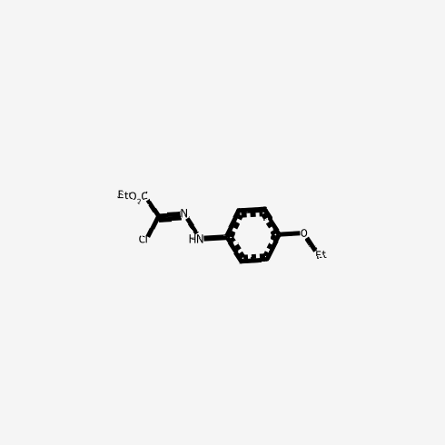 CCOC(=O)C(Cl)=NNc1ccc(OCC)cc1